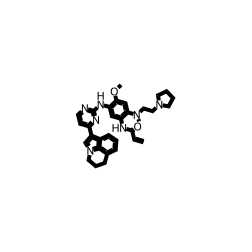 C=CC(=O)Nc1cc(Nc2nccc(-c3cn4c5c(cccc35)CCC4)n2)c(OC)cc1N(C)CCN1CCCC1